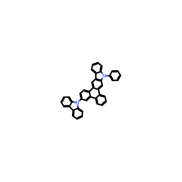 c1ccc(-n2c3ccccc3c3cc4c5ccc(-n6c7ccccc7c7ccccc76)cc5c5ccccc5c4cc32)cc1